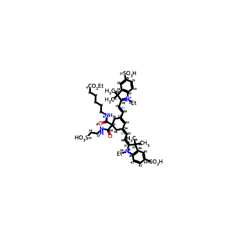 CCOC(=O)CCCCCNC(=O)C1(C(=O)NCCS(=O)(=O)O)CC(/C=C/C2=[N+](CC)c3ccc(S(=O)(=O)O)cc3C2(C)C)=CC(=C/C=C2/N(CC)c3ccc(S(=O)(=O)O)cc3C2(C)C)/C1